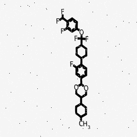 CC1CCC(C2COC(c3ccc(C4CCC(C(F)(F)Oc5ccc(C(F)F)c(F)c5)CC4)c(F)c3)OC2)CC1